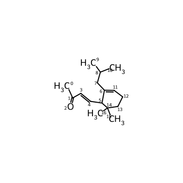 CC(=O)/C=C/C1C(CC(C)C)=CCCC1(C)C